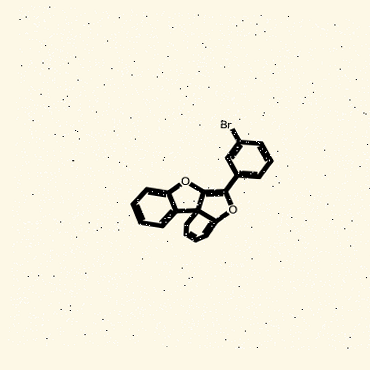 Brc1cccc(C2=C3Oc4ccccc4C34CC=CC=C4O2)c1